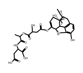 CC(OC(=O)C(O)CC(=O)OC1=CC[C@@]2(O)[C@H]3Cc4ccc(O)c5c4[C@@]2(CCN3C)[C@H]1O5)C(=O)NC(CC(=O)O)C(=O)O